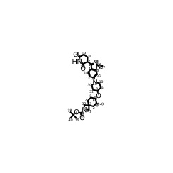 C[C@H]1CC2(CC[C@H]1OC1CCN(c3ccc4c(C5CCC(=O)NC5=O)nn(C)c4c3)CC1)CN(C(=O)OC(C)(C)C)C2